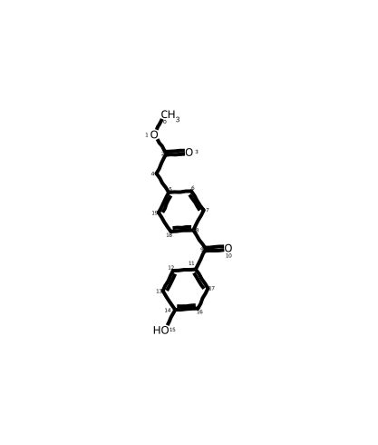 COC(=O)Cc1ccc(C(=O)c2ccc(O)cc2)cc1